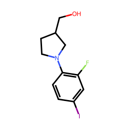 OCC1CCN(c2ccc(I)cc2F)C1